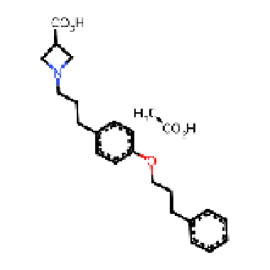 CC(=O)O.O=C(O)C1CN(CCCc2ccc(OCCCc3ccccc3)cc2)C1